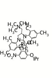 Cc1cc(C)c(N2CC(C[N+](C)(C)C)N(c3c(C)cc(C)cc3C)[C]2=[Ru-4]([Cl])([Cl])=[CH]c2cc([N+](=O)[O-])ccc2OC(C)C)c(C)c1